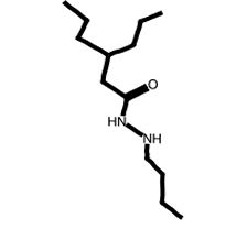 CCCCNNC(=O)CC(CCC)CCC